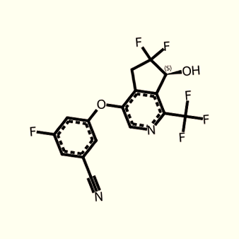 N#Cc1cc(F)cc(Oc2cnc(C(F)(F)F)c3c2CC(F)(F)[C@H]3O)c1